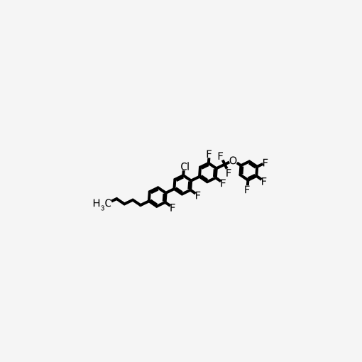 CCCCCc1ccc(-c2cc(F)c(-c3cc(F)c(C(F)(F)Oc4cc(F)c(F)c(F)c4)c(F)c3)c(Cl)c2)c(F)c1